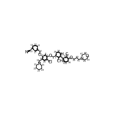 Cc1c(COc2cc(OCc3cccc(C#N)c3)c(CN3CCCCC3)cc2Cl)cccc1-c1cccc(OCCCN2CCOCC2)c1C